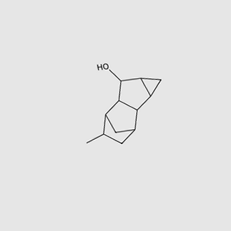 CC1CC2CC1C1C(O)C3CC3C21